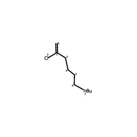 C=C(Cl)CCCCCCCC